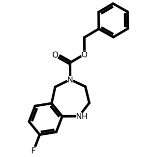 O=C(OCc1ccccc1)N1CCNc2cc(F)ccc2C1